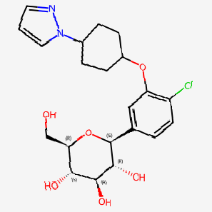 OC[C@H]1O[C@@H](c2ccc(Cl)c(OC3CCC(n4cccn4)CC3)c2)[C@H](O)[C@@H](O)[C@@H]1O